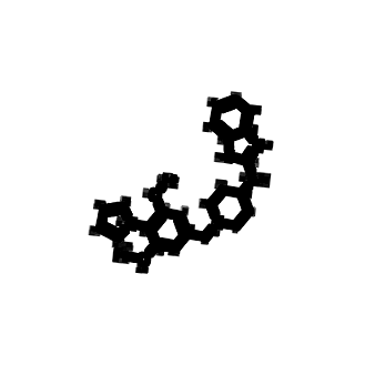 CCOc1cc(CN2CCC(Nc3nc4ccccc4s3)CC2)cc(OCC)c1-n1cccc1